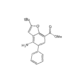 COC(=O)c1cc(-c2ccccc2)c(N)c2cc(C(C)(C)C)oc12